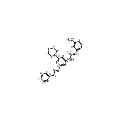 Cc1cccc(NC(=O)Nc2cc(N3CCOCC3)nc(OCCc3ccccn3)n2)c1